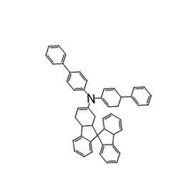 C1=CC2c3ccccc3C3(c4ccccc4C4CC=C(N(C5=CCC(c6ccccc6)C=C5)c5ccc(-c6ccccc6)cc5)CC43)C2C=C1